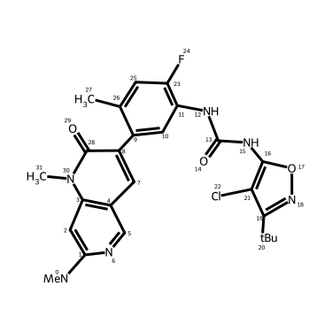 CNc1cc2c(cn1)cc(-c1cc(NC(=O)Nc3onc(C(C)(C)C)c3Cl)c(F)cc1C)c(=O)n2C